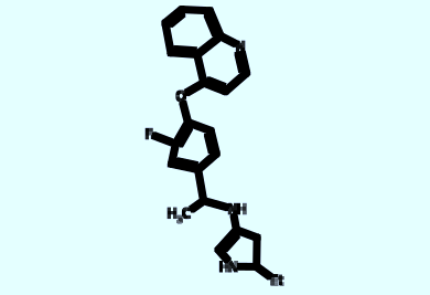 CCC1CC(NC(C)c2ccc(Oc3ccnc4ccccc34)c(F)c2)=CN1